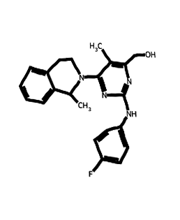 Cc1c(CO)nc(Nc2ccc(F)cc2)nc1N1CCc2ccccc2C1C